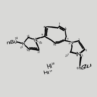 CCCCN1C=CN(c2cccc(N3C=CN(CCCC)C3)c2)C1.I.I